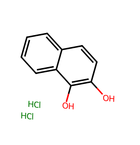 Cl.Cl.Oc1ccc2ccccc2c1O